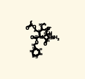 CSC1C(COC(C)=O)=C(C(=O)OCc2ccccc2)N2C(=O)[C@@H](N)[C@H]2[S+]1[O-]